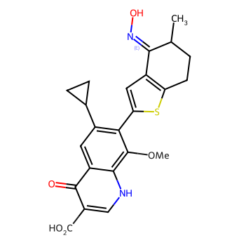 COc1c(-c2cc3c(s2)CCC(C)/C3=N\O)c(C2CC2)cc2c(=O)c(C(=O)O)c[nH]c12